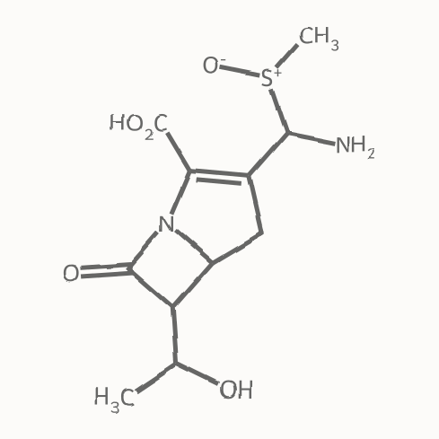 CC(O)C1C(=O)N2C(C(=O)O)=C(C(N)[S+](C)[O-])CC12